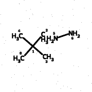 CC(C)(C)C.NN